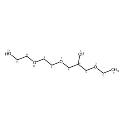 CCOCC(O)COCCOCCO